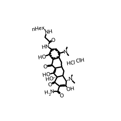 CCCCCCNCC(=O)Nc1cc(N(C)C)c2c(c1O)C(=O)C1=C(O)[C@]3(O)C(=O)C(C(N)=O)=C(O)[C@@H](N(C)C)C3CC1C2.Cl.Cl